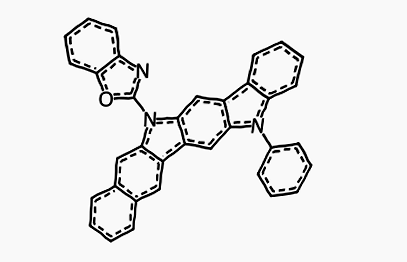 c1ccc(-n2c3ccccc3c3cc4c(cc32)c2cc3ccccc3cc2n4-c2nc3ccccc3o2)cc1